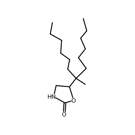 CCCCCCC(C)(CCCCCC)C1CNC(=O)O1